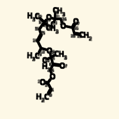 C=CC(=O)OCC(=O)C(C)(C)OC(C)/C=C/CC(C)(C)OC(C)(C)COC(=O)C=C